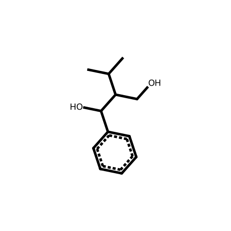 CC(C)C(CO)C(O)c1ccccc1